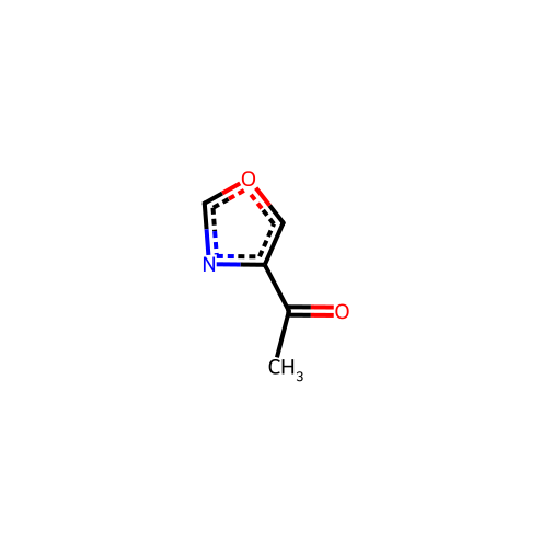 CC(=O)c1cocn1